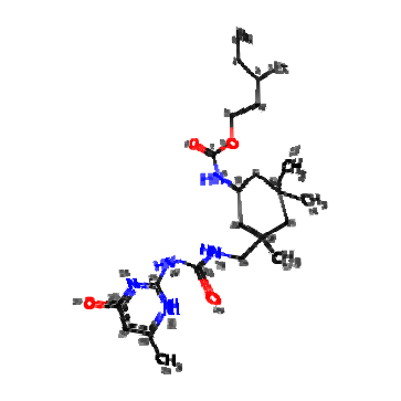 CCC(C)CC(CC)CCOC(=O)NC1CC(C)(C)CC(C)(CNC(=O)Nc2nc(=O)cc(C)[nH]2)C1